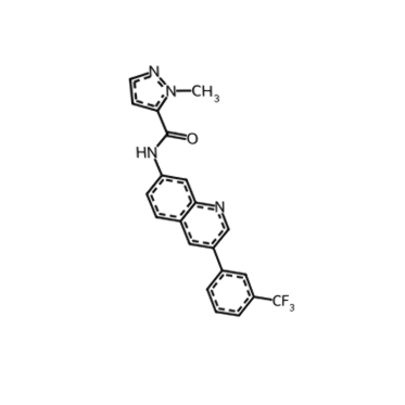 Cn1nccc1C(=O)Nc1ccc2cc(-c3cccc(C(F)(F)F)c3)cnc2c1